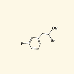 OC(Br)Cc1cccc(F)c1